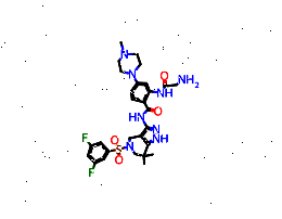 CN1CCN(c2ccc(C(=O)Nc3n[nH]c4c3CN(S(=O)(=O)c3cc(F)cc(F)c3)CC4(C)C)c(NC(=O)CN)c2)CC1